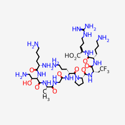 C[C@H](NC(=O)[C@@H](NC(=O)[C@@H](N)CCCCN)[C@@H](O)CN)C(=O)NCC(=O)N[C@H](CCCN)C(=O)N1CCC[C@H]1C(=O)N[C@@H](CC(F)(F)F)C(=O)N[C@@H](CCCCN)C(=O)N/C(=C\CCNC(=N)N)C(=O)O